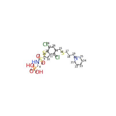 O=P(O)(O)CNS(=O)(=O)c1cc2c(Cl)c(CSCCC[n+]3ccccc3)cc(Cl)c2s1